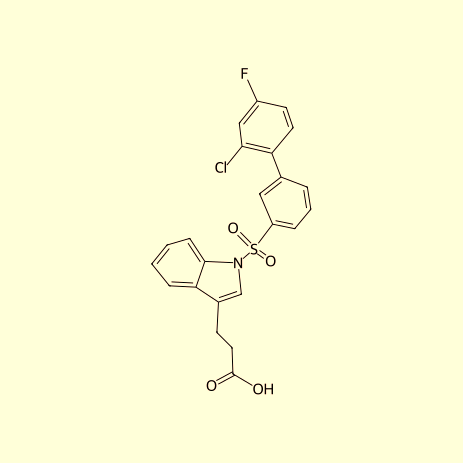 O=C(O)CCc1cn(S(=O)(=O)c2cccc(-c3ccc(F)cc3Cl)c2)c2ccccc12